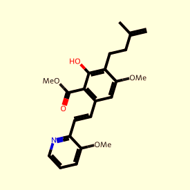 C=C(C)CCc1c(OC)cc(C=Cc2ncccc2OC)c(C(=O)OC)c1O